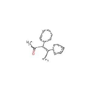 CC(=O)/C(=C(\C)c1ccccc1)c1ccccc1